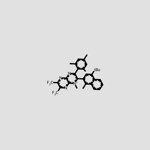 Cc1cc(C)c(-c2nc3nc(C(F)(F)F)c(C(F)(F)F)nc3[n+](C)c2-c2cc(C(C)(C)C)c3ccccc3c2C)c(C)c1